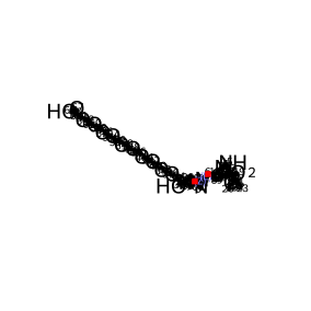 C=N/C(=N\C=C(/C)c1ccc2c(c1)N=C(N)CC(C(=O)N(CCC)OCC)=C2)N1CCN(C(O)CCOCCOCCOCCOCCOCCOCCOCCOCCOCCOCCC(=O)O)CC1